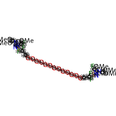 COc1cc(-n2c(N(C)c3ccc(OC)c(OC)c3)cnc2SCc2c(F)cc(-c3ccc(OCCOCCOCCOCCOCCOCCOCCOCCOCCOCCOCCOCCOc4ccc(-c5cc(F)c(CSc6ncc(N(C)c7ccc(OC)c(OC)c7)n6-c6ccc(F)c(OC)c6)c(F)c5)cc4)cc3)cc2F)ccc1F